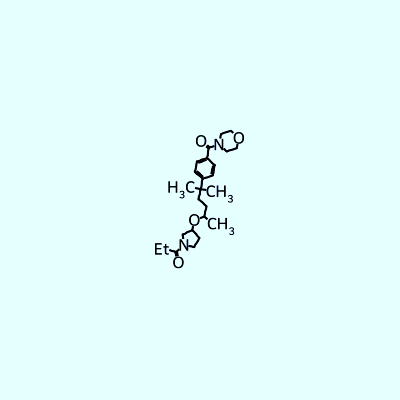 CCC(=O)N1CCC(OC(C)CCC(C)(C)c2ccc(C(=O)N3CCOCC3)cc2)C1